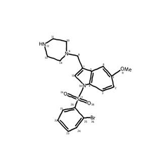 COc1ccc2c(c1)c(CN1CCNCC1)cn2S(=O)(=O)c1ccccc1Br